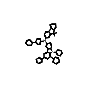 CC1(C)c2ccccc2-c2ccc(N(c3ccc(-c4ccccc4)cc3)c3ccc4c(c3)c3cc(-c5ccccc5)cc(-c5ccccc5)c3n4-c3ccccc3)cc21